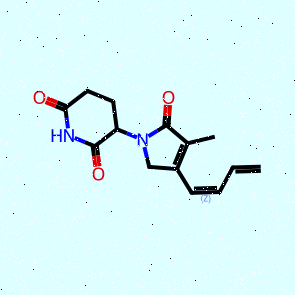 C=C/C=C\C1=C(C)C(=O)N(C2CCC(=O)NC2=O)C1